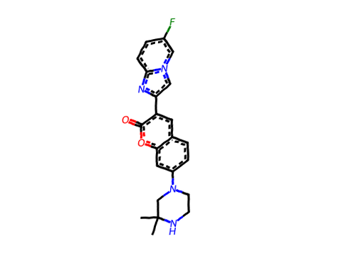 CC1(C)CN(c2ccc3cc(-c4cn5cc(F)ccc5n4)c(=O)oc3c2)CCN1